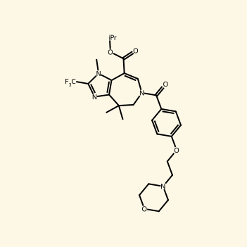 CC(C)OC(=O)C1=CN(C(=O)c2ccc(OCCN3CCOCC3)cc2)CC(C)(C)c2nc(C(F)(F)F)n(C)c21